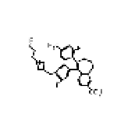 Cc1ccc(C2=C(c3ccc(CC4CN(CCCF)C4)c(F)c3)c3ccc(C(=O)O)cc3CCC2)c(F)c1